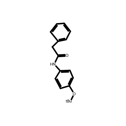 CC(C)(C)Oc1ccc(NC(=O)Cc2ccccc2)cc1